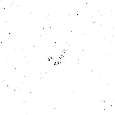 [Al+3].[K+].[S-2].[S-2]